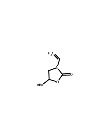 C=CN1CC(CCCC)OC1=O